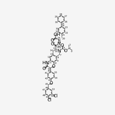 CC(C)OC(=O)N1Cc2cc3c(cc2C[C@H]1C(=O)N[C@@H](Cc1ccc(-c2ccccc2)cc1)C(=O)O)NC(=O)C(c1ccc(OCc2ccc(Cl)c(Cl)c2)cc1)O3